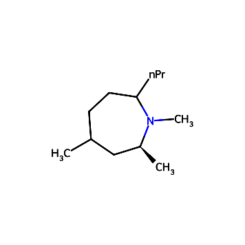 CCCC1CCC(C)C[C@H](C)N1C